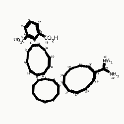 C1CCCCCCCCC1.C1CCCCCCCCC1.NC(N)C1CCCCCCCCC1.O=C(O)c1cccc(C(=O)O)c1